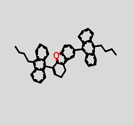 CCCCc1c2ccccc2c(C2=CCCc3c2oc2ccc(-c4c5ccccc5c(CCCC)c5ccccc45)cc32)c2ccccc12